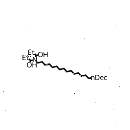 CCCCCCCCCCCCCCCCCCCCCCCCCN(C(O)CC)C(O)CC